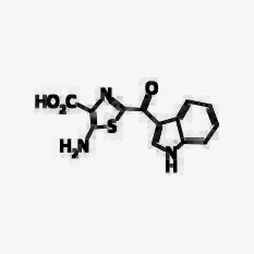 Nc1sc(C(=O)c2c[nH]c3ccccc23)nc1C(=O)O